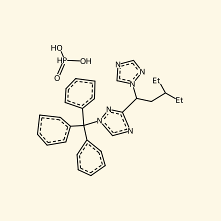 CCC(CC)CC(c1ncn(C(c2ccccc2)(c2ccccc2)c2ccccc2)n1)n1cncn1.O=[PH](O)O